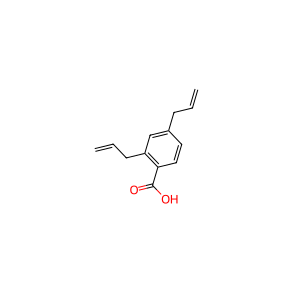 C=CCc1ccc(C(=O)O)c(CC=C)c1